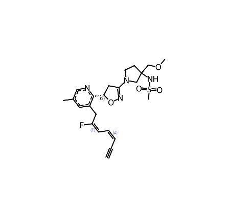 C#C/C=C\C=C(\F)Cc1cc(C)cnc1[C@@H]1CC(N2CCC(COC)(NS(C)(=O)=O)C2)=NO1